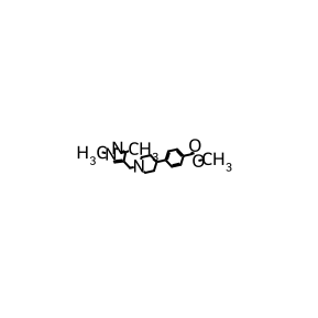 COC(=O)c1ccc(C2CCN(Cc3cn(C)nc3C)CC2)cc1